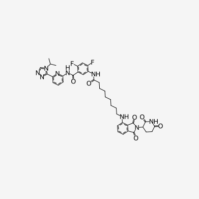 CC(C)n1cnnc1-c1cccc(NC(=O)c2cc(NC(=O)CCCCCCCCNc3cccc4c3C(=O)N(C3CCC(=O)NC3=O)C4=O)c(F)cc2F)n1